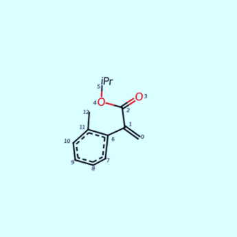 C=C(C(=O)OC(C)C)c1ccccc1C